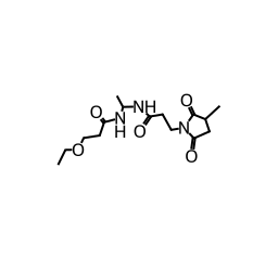 CCOCCC(=O)NC(C)NC(=O)CCN1C(=O)CC(C)C1=O